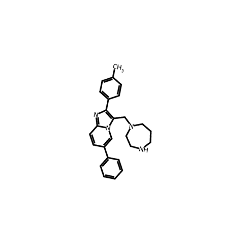 Cc1ccc(-c2nc3ccc(-c4ccccc4)cn3c2CN2CCCNCC2)cc1